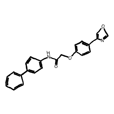 O=C(COc1ccc(-c2cocn2)cc1)Nc1ccc(-c2ccccc2)cc1